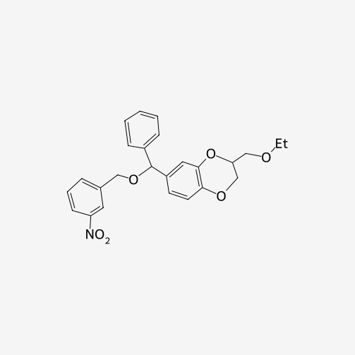 CCOCC1COc2ccc(C(OCc3cccc([N+](=O)[O-])c3)c3ccccc3)cc2O1